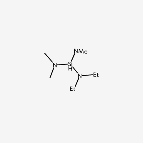 CCN(CC)[SiH](NC)N(C)C